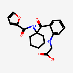 O=C(O)CNc1ccccc1C(=O)C1(NC(=O)c2ccco2)CCCCC1